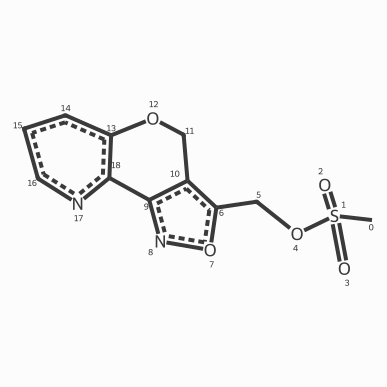 CS(=O)(=O)OCc1onc2c1COc1cccnc1-2